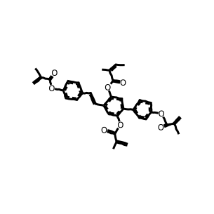 C=C(C)C(=O)Oc1ccc(/C=C/c2cc(OC(=O)C(=C)C)c(-c3ccc(OC(=O)C(=C)C)cc3)cc2OC(=O)/C(C)=C\C)cc1